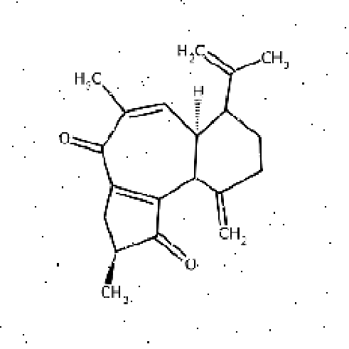 C=C(C)C1CCC(=C)C2C3=C(C[C@H](C)C3=O)C(=O)C(C)=C[C@@H]12